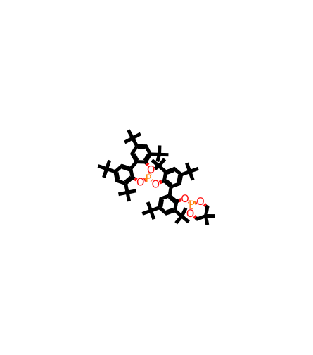 CC1(C)COP(Oc2c(-c3cc(C(C)(C)C)cc(C(C)(C)C)c3Op3oc4c(C(C)(C)C)cc(C(C)(C)C)cc4c4cc(C(C)(C)C)cc(C(C)(C)C)c4o3)cc(C(C)(C)C)cc2C(C)(C)C)OC1